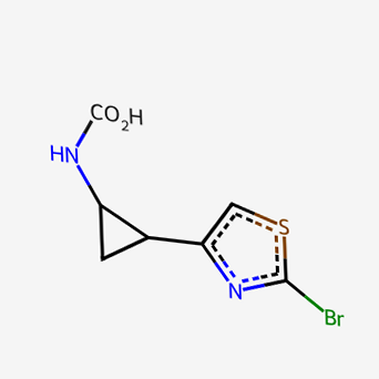 O=C(O)NC1CC1c1csc(Br)n1